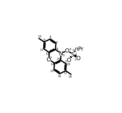 CCCS(=O)(=O)ON1c2ccc(C)cc2Oc2ccc(C)cc21